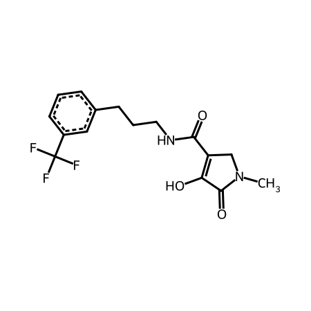 CN1CC(C(=O)NCCCc2cccc(C(F)(F)F)c2)=C(O)C1=O